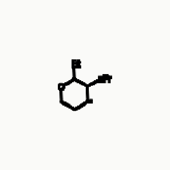 CCCC1[C]CCOC1CC